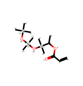 C=CC(=O)OC(C)[Si](C)(C)O[Si](C)(C)O[Si](C)(C)C